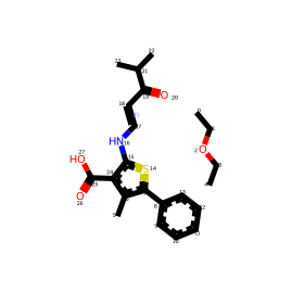 CCOCC.Cc1c(-c2ccccc2)sc(N/C=C/C(=O)C(C)C)c1C(=O)O